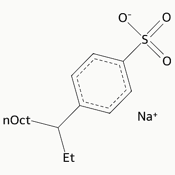 CCCCCCCCC(CC)c1ccc(S(=O)(=O)[O-])cc1.[Na+]